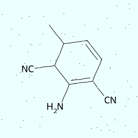 CC1C=CC(C#N)=C(N)C1C#N